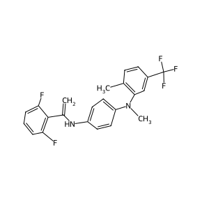 C=C(Nc1ccc(N(C)c2cc(C(F)(F)F)ccc2C)cc1)c1c(F)cccc1F